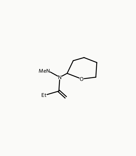 C=C(CC)N(NC)C1CCCCO1